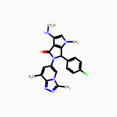 Cc1cc(N2C(=O)c3c(NC(=O)O)cn(C)c3C2c2ccc(Cl)cc2)cn2c(C)nnc12